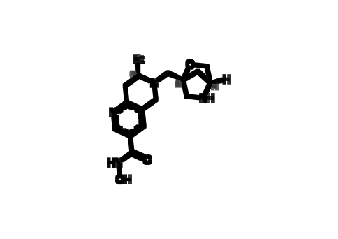 CC[C@@H]1Cc2ncc(C(=O)NO)cc2CN1C[C@@]12CN[C@@H](CO1)C2